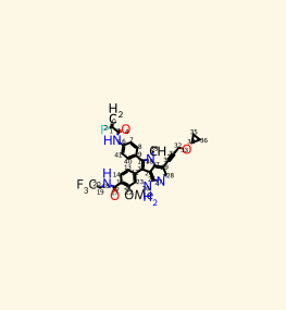 C=C(F)C(=O)Nc1ccc(-c2c(-c3ccc(C(=O)NCC(F)(F)F)c(OC)c3)c3c(N)ncc(C#CCOC4CC4)c3n2C)cc1